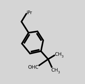 CC(C)Cc1ccc(C(C)(C)C=O)cc1